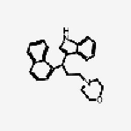 c1ccc2c(C(CCN3CCOCC3)c3c[nH]c4ccccc34)cccc2c1